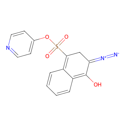 [N-]=[N+]=C1CC(S(=O)(=O)Oc2ccncc2)=c2ccccc2=C1O